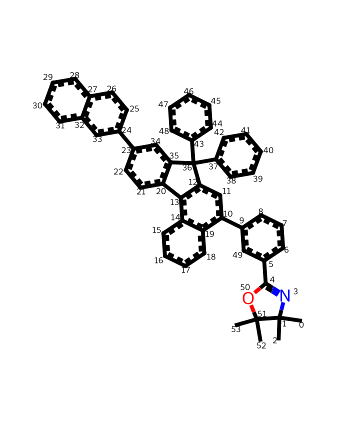 CC1(C)N=C(c2cccc(-c3cc4c(c5ccccc35)-c3ccc(-c5ccc6ccccc6c5)cc3C4(c3ccccc3)c3ccccc3)c2)OC1(C)C